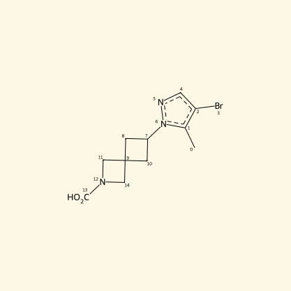 Cc1c(Br)cnn1C1CC2(C1)CN(C(=O)O)C2